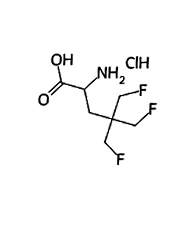 Cl.NC(CC(CF)(CF)CF)C(=O)O